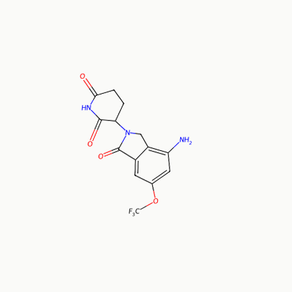 Nc1cc(OC(F)(F)F)cc2c1CN(C1CCC(=O)NC1=O)C2=O